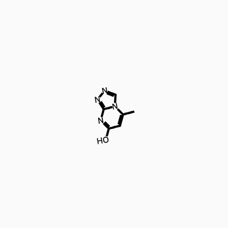 Cc1cc(O)nc2nncn12